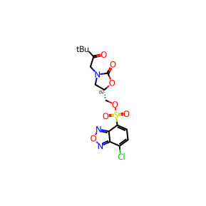 CC(C)(C)C(=O)CN1C[C@@H](COS(=O)(=O)c2ccc(Cl)c3nonc23)OC1=O